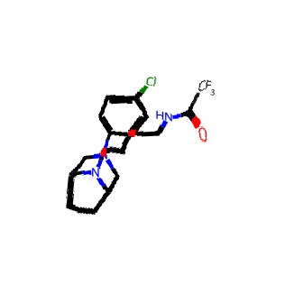 O=C(NCCCCN1C2CCC1CN(c1ccc(Cl)cc1)C2)C(F)(F)F